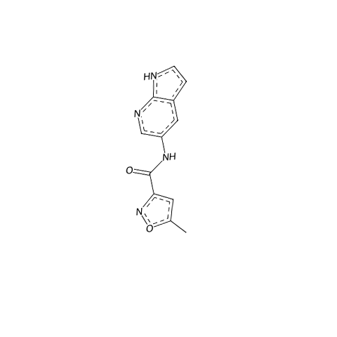 Cc1cc(C(=O)Nc2cnc3[nH]ccc3c2)no1